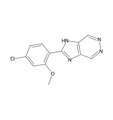 COc1cc(Cl)ccc1-c1nc2cnncc2[nH]1